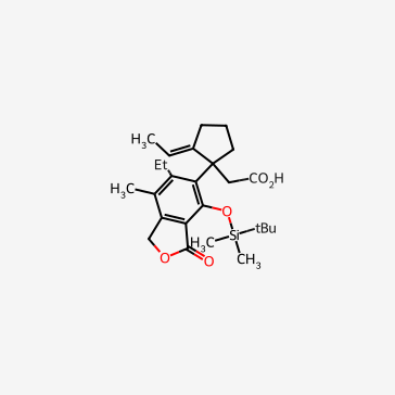 CC=C1CCCC1(CC(=O)O)c1c(CC)c(C)c2c(c1O[Si](C)(C)C(C)(C)C)C(=O)OC2